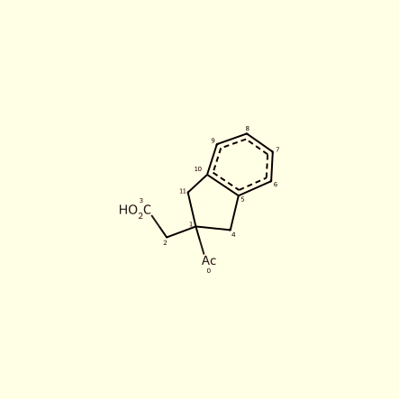 CC(=O)C1(CC(=O)O)Cc2ccccc2C1